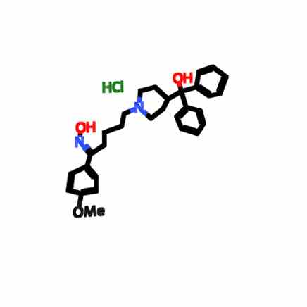 COc1ccc(C(CCCCN2CCC(C(O)(c3ccccc3)c3ccccc3)CC2)=NO)cc1.Cl